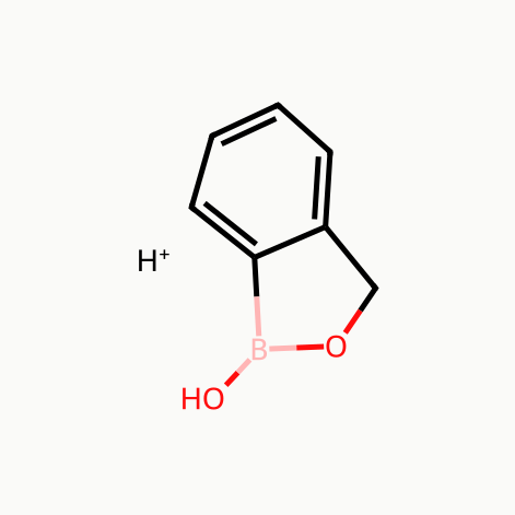 OB1OCc2ccccc21.[H+]